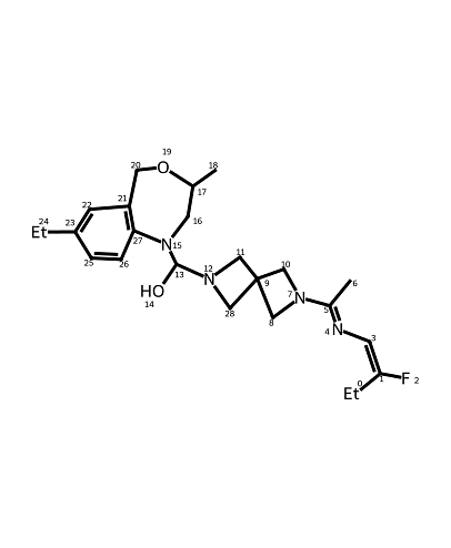 CC/C(F)=C\N=C(/C)N1CC2(C1)CN(C(O)N1CC(C)OCc3cc(CC)ccc31)C2